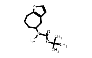 CN(C(=O)OC(C)(C)C)C1CCCc2sccc2C1